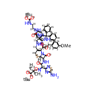 COc1ccc(COC(=O)C2=C(C[n+]3cc(NC(=O)NCCNC(=O)OC(C)(C)C)c(NC(c4ccccc4)(c4ccccc4)c4ccccc4)n3C)CS[C@@H]3[C@H](NC(=O)/C(=N\OC(C)(C)C(=O)OC(C)(C)C)c4nsc(N)n4)C(=O)N23)cc1